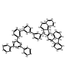 c1ccc(-c2nc(-c3ccccc3)nc(-c3cccc(-c4cccc(-c5cccc(-n6c7ccc8ccccc8c7c7c8cccc9c8c(cc76)-c6ccccc6-9)c5)c4)c3)n2)cc1